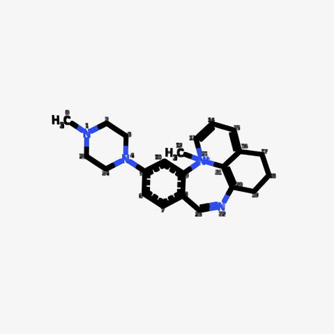 CN1CCN(c2ccc3c(c2)[N+]2(C)C=CC=C4CCCC(=C42)N=C3)CC1